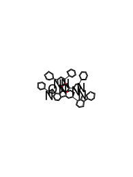 c1ccc(-c2cc(-c3ccccc3)nc(-n3c4ccccc4c4cccc(-c5ccc6c(c5)c5ccc7nc(-c8ccccc8)oc7c5n6-c5nc(-c6ccccc6)cc(-c6ccccc6)n5)c43)n2)cc1